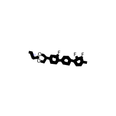 C/C=C/C1OCC(c2ccc(-c3ccc(-c4ccc(C)c(F)c4F)cc3)c(F)c2)CO1